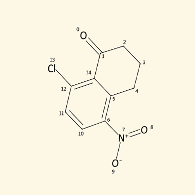 O=C1CCCc2c([N+](=O)[O-])ccc(Cl)c21